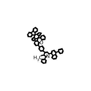 CCC1C(c2ccc(-c3cccc4c3Oc3ccccc3C43c4ccccc4C4(c5ccccc5-c5ccccc54)c4ccccc43)cc2)=CC(c2ccc(-c3ccccc3)c3ccccc23)=NC1c1ccccc1